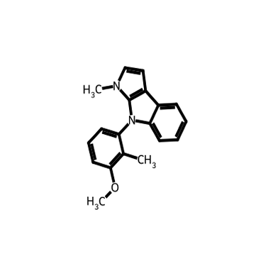 COc1cccc(-n2c3ccccc3c3ccn(C)c32)c1C